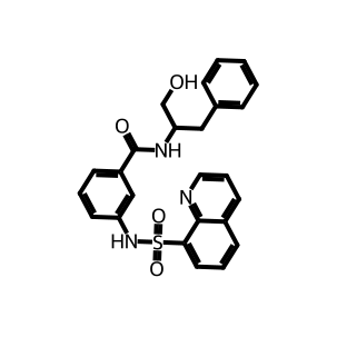 O=C(NC(CO)Cc1ccccc1)c1cccc(NS(=O)(=O)c2cccc3cccnc23)c1